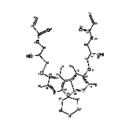 C=CC(=O)OCC(O)COc1c(C)cc(C2(c3cc(C)c(OCC(O)COC(=O)C=C)c(C)c3)CCCCC2)cc1C